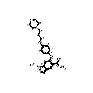 Cn1ncc2cc(C(N)=O)c(Oc3ccc(OCCCN4CCOCC4)cc3)cc21